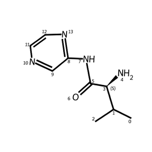 CC(C)[C@H](N)C(=O)Nc1cnccn1